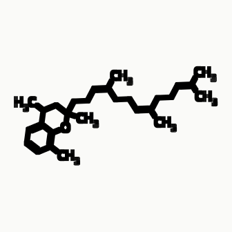 CC(C)=CCCC(C)=CCCC(C)=CCCC1(C)CC(C)c2cccc(C)c2O1